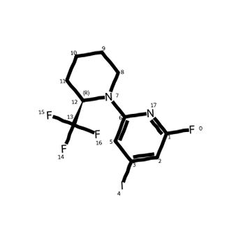 Fc1cc(I)cc(N2CCCC[C@@H]2C(F)(F)F)n1